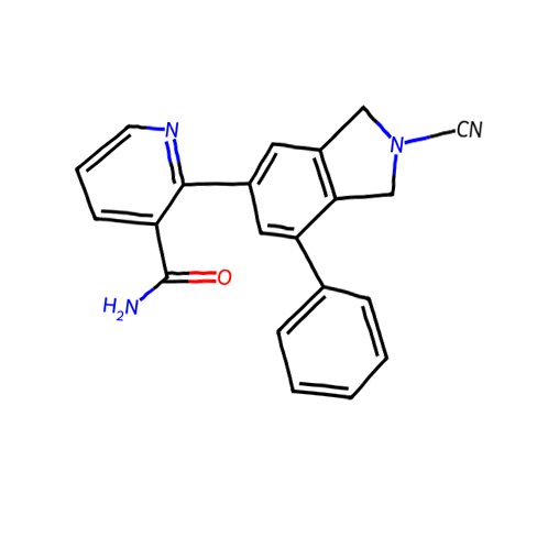 N#CN1Cc2cc(-c3ncccc3C(N)=O)cc(-c3ccccc3)c2C1